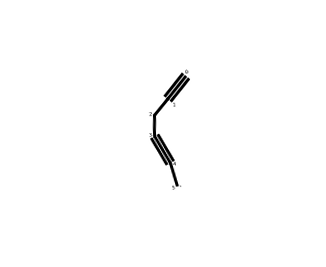 C#CCC#C[CH2]